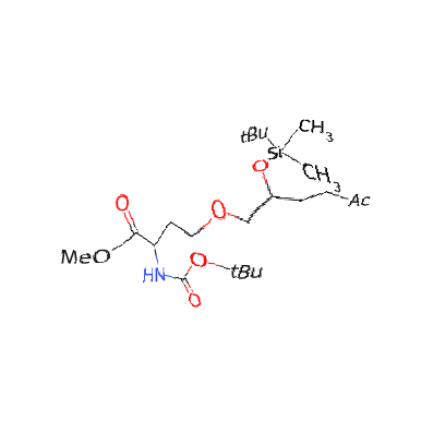 COC(=O)C(CCOCC(CCC(C)=O)O[Si](C)(C)C(C)(C)C)NC(=O)OC(C)(C)C